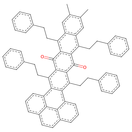 Cc1cc2c(CCc3ccccc3)c3c(=O)c4c(CCc5ccccc5)c5c6cccc7ccc8cccc(c5c(CCc5ccccc5)c4c(=O)c3c(CCc3ccccc3)c2cc1C)c8c76